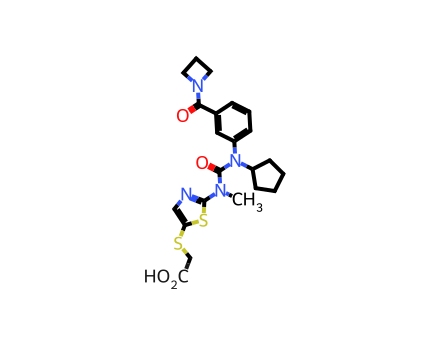 CN(C(=O)N(c1cccc(C(=O)N2CCC2)c1)C1CCCC1)c1ncc(SCC(=O)O)s1